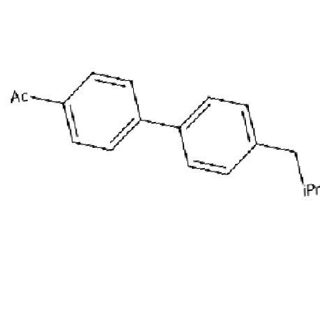 CC(=O)c1ccc(-c2ccc(CC(C)C)cc2)cc1